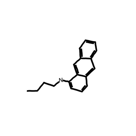 CCCC[N]c1cccc2cc3ccccc3cc12